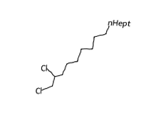 CCCCCCCCCCCCCCC(Cl)CCl